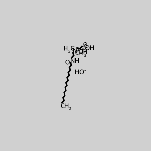 CCCCCCCCCCCCCCCCCC(=O)NCCC[N+](C)(C)CC(O)CS(=O)(=O)O.[OH-]